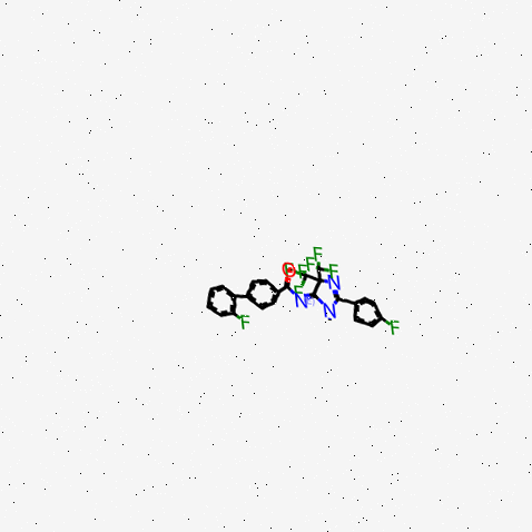 CN1C(c2ccc(F)cc2)=NC(C(F)(F)F)(C(F)(F)F)/C1=N\C(=O)c1ccc(-c2ccccc2F)cc1